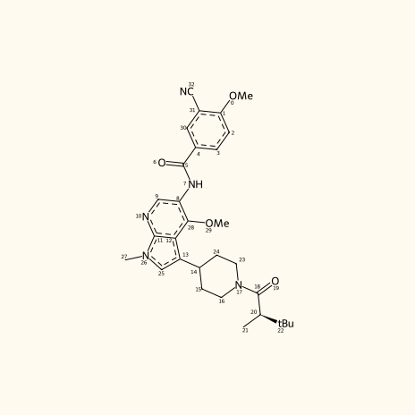 COc1ccc(C(=O)Nc2cnc3c(c(C4CCN(C(=O)[C@H](C)C(C)(C)C)CC4)cn3C)c2OC)cc1C#N